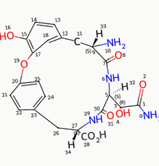 NC(=O)[C@H](O)[C@@H]1NC(=O)[C@@H](N)Cc2ccc(O)c(c2)Oc2ccc(cc2)C[C@@H](C(=O)O)NC1=O